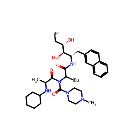 CCC(C)C(C(=O)N[C@@H](Cc1ccc2ccccc2c1)[C@@H](O)[C@@H](O)CC(C)C)N(C(=O)C(C)NC1CCCCC1)C(=O)N1CCN(C)CC1